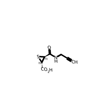 C#CCNC(=O)[C@@H]1S[C@H]1C(=O)O